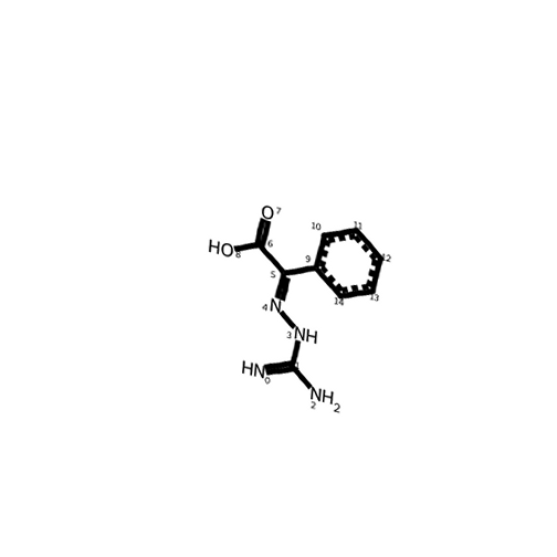 N=C(N)N/N=C(/C(=O)O)c1ccccc1